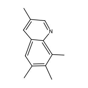 Cc1cnc2c(C)c(C)c(C)cc2c1